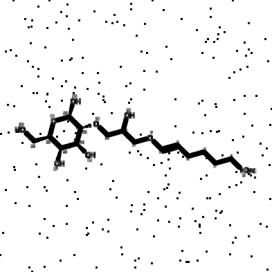 CCCCCCCCCCCCCC/C=C/OCC(O)CO[C@@H]1[C@@H](O)[C@@H](O)[C@@H](CO)O[C@H]1O